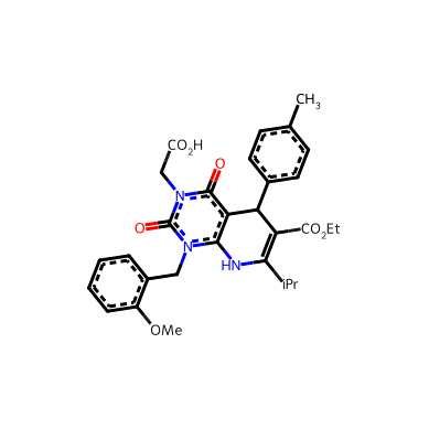 CCOC(=O)C1=C(C(C)C)Nc2c(c(=O)n(CC(=O)O)c(=O)n2Cc2ccccc2OC)C1c1ccc(C)cc1